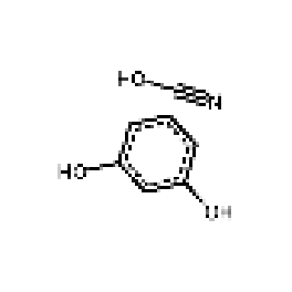 N#CO.Oc1cccc(O)c1